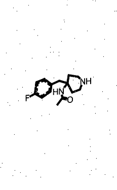 CC(=O)NC1(Cc2ccc(F)cc2)CCNCC1